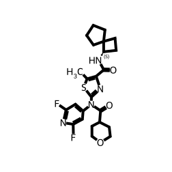 Cc1sc(N(C(=O)C2CCOCC2)c2cc(F)nc(F)c2)nc1C(=O)N[C@H]1CCC12CCCC2